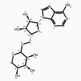 Nc1ncnc2c1ncn2[C@@H]1O[C@H](COC2OC[C@H](O)[C@H](O)[C@@H]2O)[C@@H](O)[C@H]1O